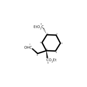 CCOC(=O)[C@@H]1CCC[C@@](CC=O)(C(=O)OCC)C1